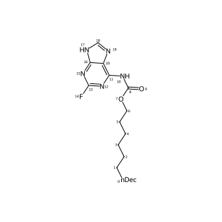 CCCCCCCCCCCCCCCCOC(=O)Nc1nc(F)nc2[nH]cnc12